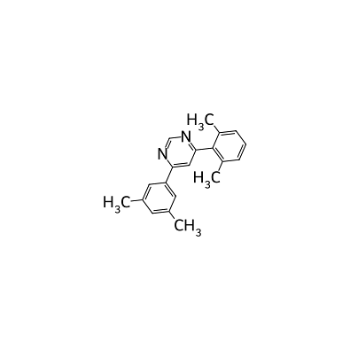 Cc1cc(C)cc(-c2cc(-c3c(C)cccc3C)ncn2)c1